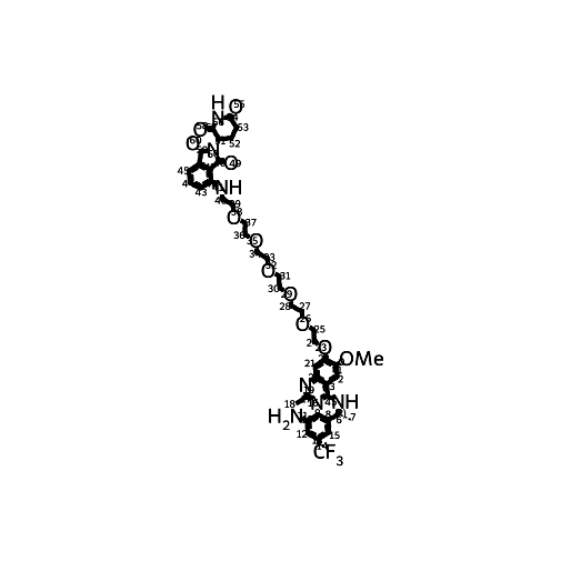 COc1cc2c(N[C@H](C)c3cc(N)cc(C(F)(F)F)c3)nc(C)nc2cc1OCCOCCOCCOCCOCCOCCNc1cccc2c1C(=O)N(C1CCC(=O)NC1=O)C2=O